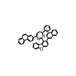 C1=C(c2ccc3c(ccc4ccccc43)c2)N=C(c2c(-c3ccc4ccccc4c3)ccc3oc4ccccc4c23)N=C(c2ccccc2)C1